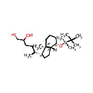 CC(CCC(O)CO)[C@H]1CC[C@H]2[C@@H](O[Si](C)(C)C(C)(C)C)CCC[C@]12C